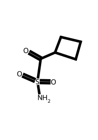 NS(=O)(=O)C(=O)C1CCC1